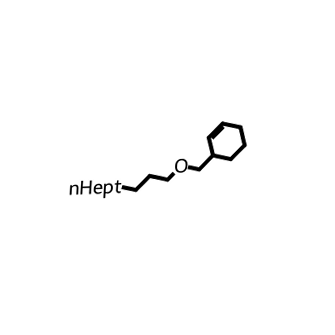 CCCCCCCCCCOCC1C=CCCC1